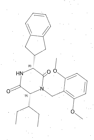 CCC(CC)[C@@H]1C(=O)N[C@H](C2Cc3ccccc3C2)C(=O)N1Cc1c(OC)cccc1OC